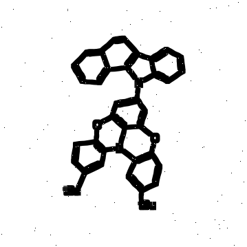 CC(C)(C)c1ccc2c(c1)B1c3cc(C(C)(C)C)ccc3Oc3cc(-n4c5ccccc5c5ccc6ccccc6c54)cc(c31)O2